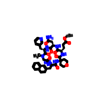 CCCCOC(=O)CC[C@H](NC(=O)C1(NC(=O)[C@@H](N)Cc2ccc3ccccc3c2)CCOCC1)C(=O)N[C@@H](CC(N)=O)C(=O)N[C@@H](Cc1cccnc1)C(=O)N(C)CC(N)=O